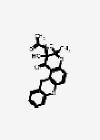 CC(=O)CC1(O)C(=O)c2c(ccc3c2Cc2ccccc2O3)OC1(C)C